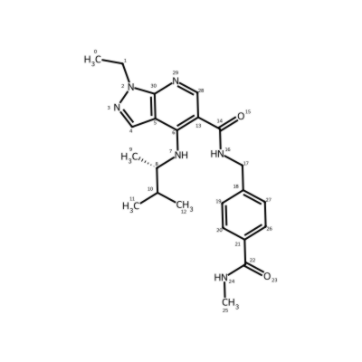 CCn1ncc2c(N[C@@H](C)C(C)C)c(C(=O)NCc3ccc(C(=O)NC)cc3)cnc21